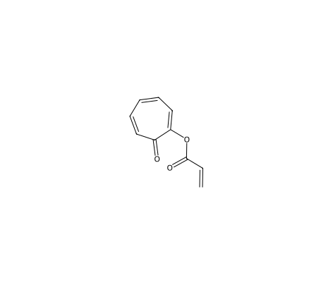 C=CC(=O)Oc1cccccc1=O